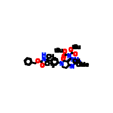 C=C(/N=C1/CCN(c2ccc(C(C)(C)NC(=O)OCc3ccccc3)cc2)C(=O)/C1=C(/N)N(C(=O)OC(C)(C)C)C(=O)OC(C)(C)C)OC